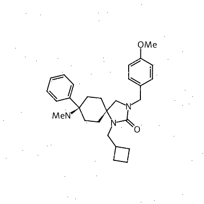 CN[C@]1(c2ccccc2)CC[C@@]2(CC1)CN(Cc1ccc(OC)cc1)C(=O)N2CC1CCC1